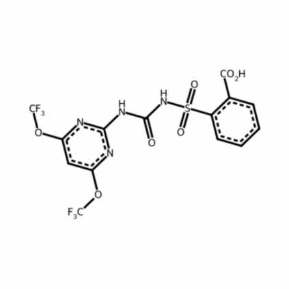 O=C(Nc1nc(OC(F)(F)F)cc(OC(F)(F)F)n1)NS(=O)(=O)c1ccccc1C(=O)O